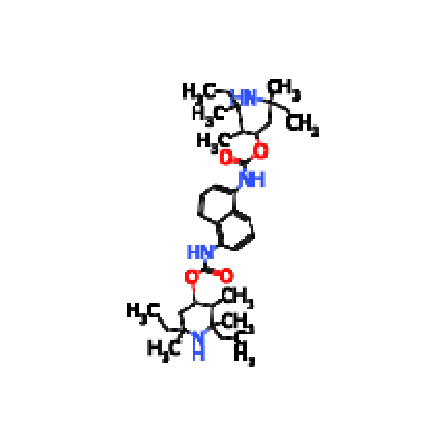 CCC1(C)CC(OC(=O)Nc2cccc3c(NC(=O)OC4CC(C)(CC)NC(C)(CC)C4C)cccc23)C(C)C(C)(CC)N1